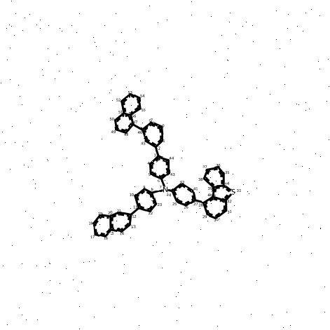 c1cc(-c2ccc(N(c3ccc(-c4ccc5ccccc5c4)cc3)c3ccc(-c4cccc5sc6ccccc6c45)cc3)cc2)cc(-c2cccc3ccccc23)c1